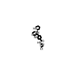 CCc1cnc(NC(=O)c2ccc(-c3nc([C@@H]4CCCCN4)n4ccnc(N)c34)cc2)s1